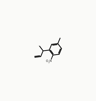 [CH2]C(C=C)c1cc(C)ccc1[N+](=O)[O-]